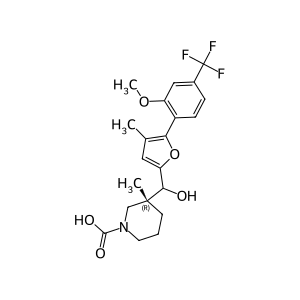 COc1cc(C(F)(F)F)ccc1-c1oc(C(O)[C@]2(C)CCCN(C(=O)O)C2)cc1C